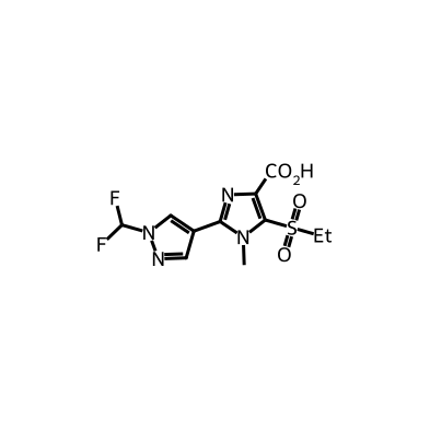 CCS(=O)(=O)c1c(C(=O)O)nc(-c2cnn(C(F)F)c2)n1C